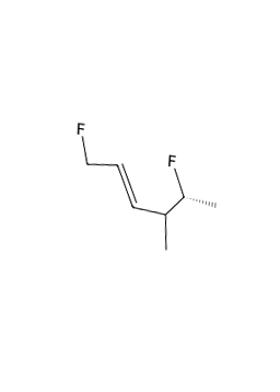 CC(/C=C/CF)[C@@H](C)F